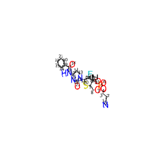 N#CCCOP1(=O)OCC2SC(n3ccc(NC(=O)c4ccccc4)nc3=O)[C@@H](F)[C@@H]2O1